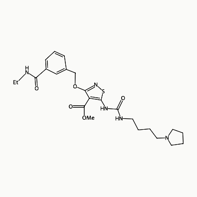 CCNC(=O)c1cccc(COc2nsc(NC(=O)NCCCCN3CCCC3)c2C(=O)OC)c1